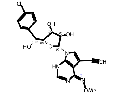 C#Cc1cn([C@@H]2O[C@H]([C@H](O)c3ccc(Cl)cc3)[C@@H](O)[C@H]2O)c2[nH]cn/c(=N\OC)c12